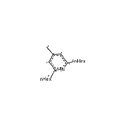 [CH2]c1cc(CCCCCC)nc(CCCCCC)c1